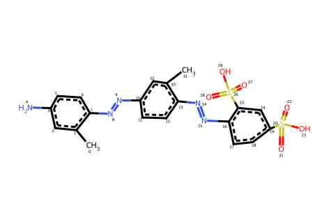 Cc1cc(N)ccc1N=Nc1ccc(N=Nc2ccc(S(=O)(=O)O)cc2S(=O)(=O)O)c(C)c1